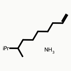 C=CCCCCCC(C)C(C)C.N